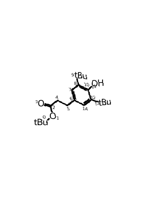 CC(C)(C)OC(=O)CCc1cc(C(C)(C)C)c(O)c(C(C)(C)C)c1